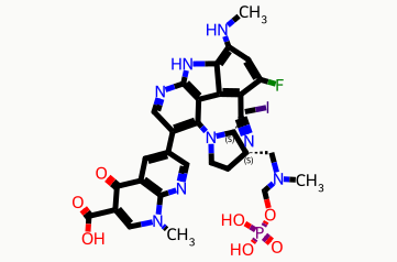 CNc1cc(F)c(C#N)c2c1[nH]c1ncc(-c3cnc4c(c3)c(=O)c(C(=O)O)cn4C)c(N3CC[C@@H](CN(C)COP(=O)(O)O)[C@H]3CI)c12